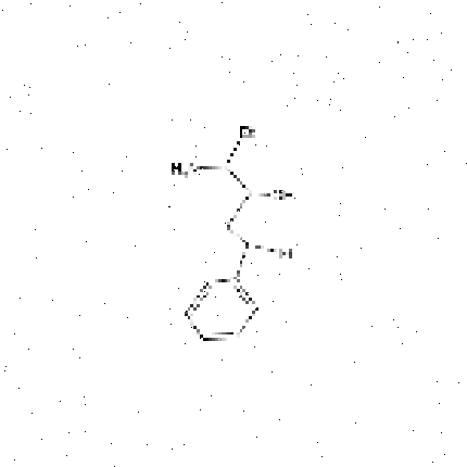 CCC(CC(O)C(N)CC)c1ccccc1